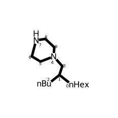 CCCCCCC(CCCC)CN1CCNCC1